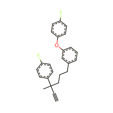 C#CC(C)(CCCc1cccc(Oc2ccc(F)cc2)c1)c1ccc(F)cc1